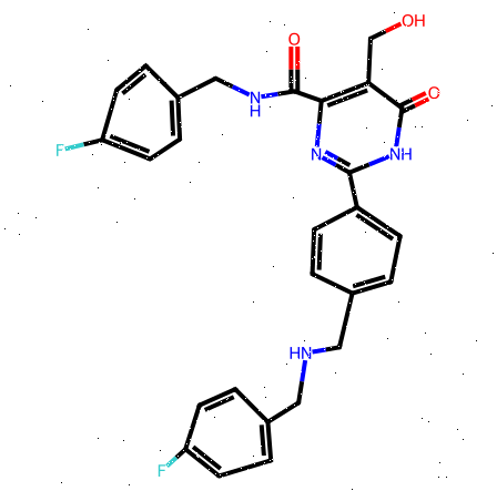 O=C(NCc1ccc(F)cc1)c1nc(-c2ccc(CNCc3ccc(F)cc3)cc2)[nH]c(=O)c1CO